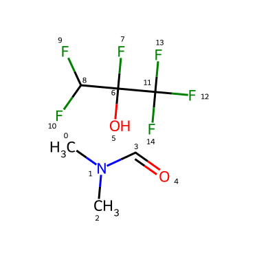 CN(C)C=O.OC(F)(C(F)F)C(F)(F)F